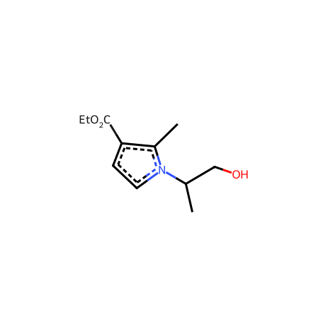 CCOC(=O)c1ccn(C(C)CO)c1C